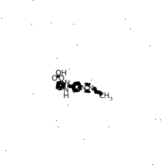 CCCCN1CCN(c2ccc(-c3nc4c(OC(=O)O)cccc4[nH]3)cc2)CC1